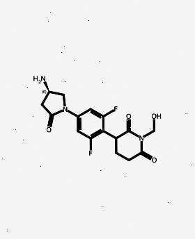 N[C@@H]1CC(=O)N(c2cc(F)c(C3CCC(=O)N(CO)C3=O)c(F)c2)C1